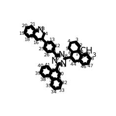 CC12C=CCCC1C(c1nc(-c3ccc(C4C=c5ccccc5=NC4)cc3)nc(-c3cc4ccccc4c4ccccc34)n1)=Cc1ccccc12